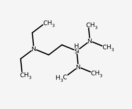 CCN(CC)CC[SiH](N(C)C)N(C)C